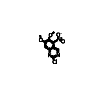 COc1cc2nc(Cl)ncc2c([N+](=O)[O-])c1OC